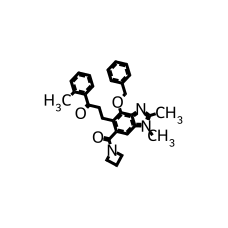 Cc1ccccc1C(=O)CCc1c(C(=O)N2CCC2)cc2c(nc(C)n2C)c1OCc1ccccc1